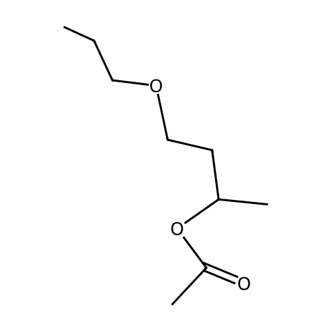 CCCOCCC(C)OC(C)=O